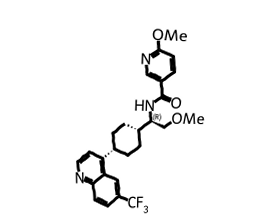 COC[C@H](NC(=O)c1ccc(OC)nc1)[C@H]1CC[C@@H](c2ccnc3ccc(C(F)(F)F)cc32)CC1